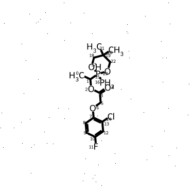 CC(OC(=O)COc1ccc(F)cc1Cl)[PH]1(P)OCC(C)(C)CO1